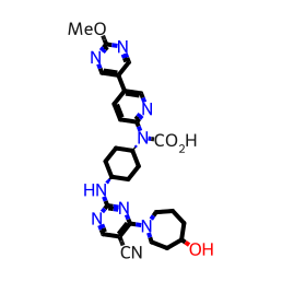 COc1ncc(-c2ccc(N(C(=O)O)[C@H]3CC[C@H](Nc4ncc(C#N)c(N5CCCC(O)CC5)n4)CC3)nc2)cn1